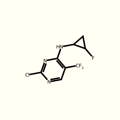 FC1CC1Nc1nc(Cl)ncc1C(F)(F)F